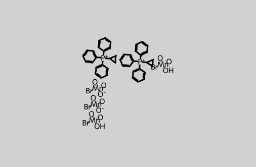 [O]=[Mn](=[O])([O-])[Br].[O]=[Mn](=[O])([O-])[Br].[O]=[Mn](=[O])([OH])[Br].[O]=[Mn](=[O])([OH])[Br].c1ccc([P+](c2ccccc2)(c2ccccc2)C2CC2)cc1.c1ccc([P+](c2ccccc2)(c2ccccc2)C2CC2)cc1